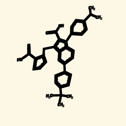 CC(C)c1ccc(-n2c(C(=O)O)c(Cn3cccc3C(=O)O)c3cc(-c4ccc(C(C)(C)C)cc4)ccc32)cc1